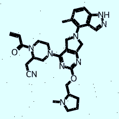 C=CC(=O)N1CCN(c2nc(OCC3CCCN3C)nc3c2CN(c2c(C)ccc4[nH]ncc24)C3)CC1CC#N